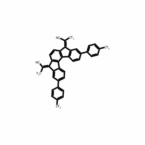 N#C/C(=C1/c2cc(-c3ccc(C(F)(F)F)cc3)ccc2-c2c1ccc1c2-c2ccc(-c3ccc(C(F)(F)F)cc3)cc2/C1=C(/C#N)C(F)(F)F)C(F)(F)F